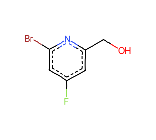 OCc1cc(F)cc(Br)n1